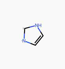 [C]1[N]C=CN1